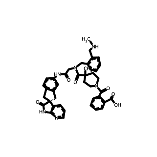 CNCc1ccccc1CN(CC(=O)Nc1ccc2c(c1)C[C@@]1(C2)C(=O)Nc2ncccc21)C(=O)C1(C)CCN(C(=O)c2ccccc2C(=O)O)CC1